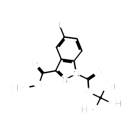 COC(=O)c1nn(C(=O)OC(C)(C)C)c2ccc(I)cc12